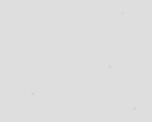 Cc1c(-c2ccc(Cl)cc2)n(Cc2ccc(OCCN3CCCCC3)cc2)c2ccc(O)cc12